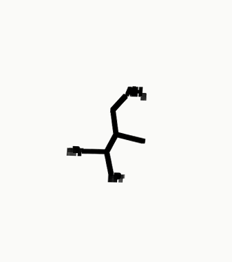 CCCC(CCC)C(C)[CH2][AlH2]